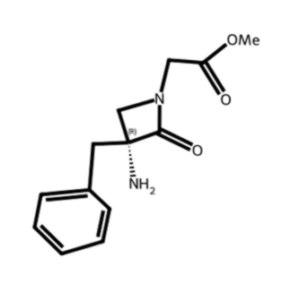 COC(=O)CN1C[C@](N)(Cc2ccccc2)C1=O